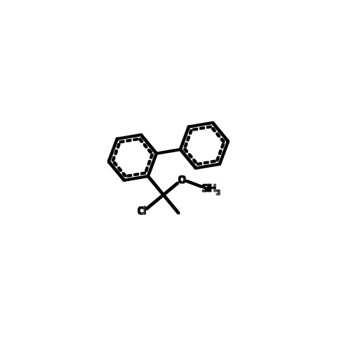 CC(Cl)(O[SiH3])c1ccccc1-c1ccccc1